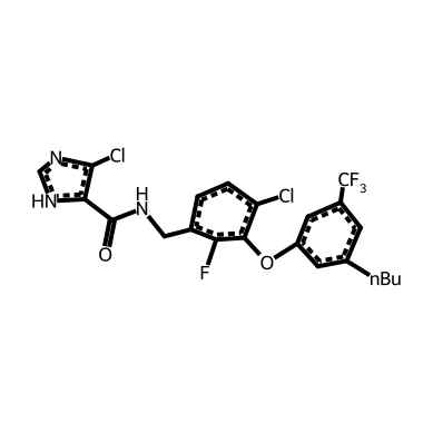 CCCCc1cc(Oc2c(Cl)ccc(CNC(=O)c3[nH]cnc3Cl)c2F)cc(C(F)(F)F)c1